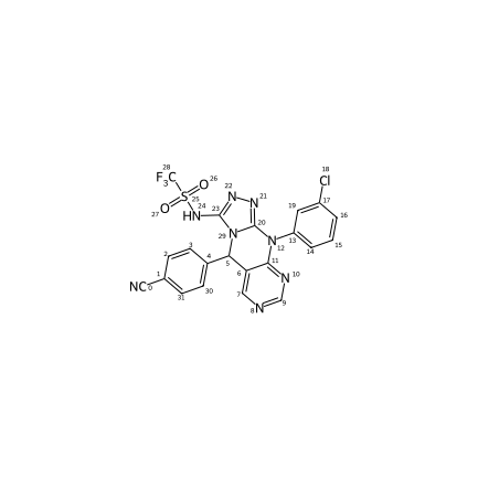 N#Cc1ccc(C2c3cncnc3N(c3cccc(Cl)c3)c3nnc(NS(=O)(=O)C(F)(F)F)n32)cc1